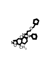 C[C@@H]1c2oncc2C[C@]2(C)c3nc(CCOCc4ccccc4)n(-c4ccccc4)c3CCC12